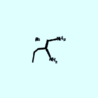 CCC(N)CN.[Ru]